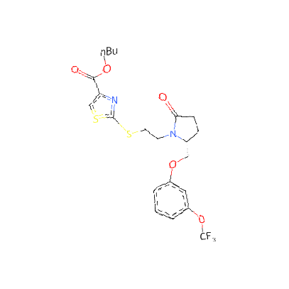 CCCCOC(=O)c1csc(SCCN2C(=O)CC[C@@H]2COc2cccc(OC(F)(F)F)c2)n1